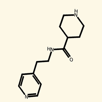 O=C(NCCc1ccncc1)C1CCNCC1